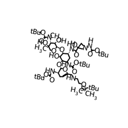 CN(C(=O)OC(C)(C)C)[C@@H]1[C@@H](O)[C@@H](O[C@@H]2[C@@H](O)[C@H](O[C@H]3OC(CNCCO[Si](C)(C)C(C)(C)C)=CC[C@H]3NC(=O)OC(C)(C)C)[C@@H](NC(=O)OC(C)(C)C)C[C@H]2NC(=O)C2(O)CN(NC(=O)OC(C)(C)C)C2)OC[C@]1(C)O